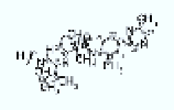 C\C=C/C(=N\C(NN(C)O)=C(/C)CC)C(C)(C)C(=O)Nc1ccc(-c2cncc(C)n2)cc1C